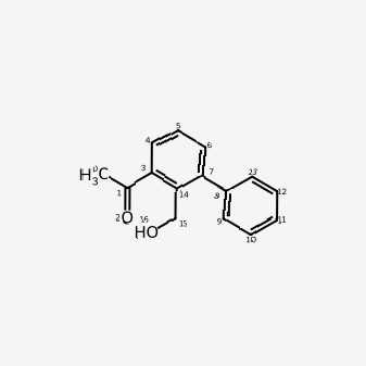 CC(=O)c1cccc(-c2ccccc2)c1CO